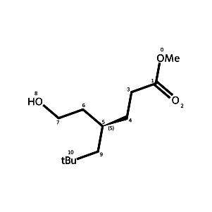 COC(=O)CC[C@H](CCO)CC(C)(C)C